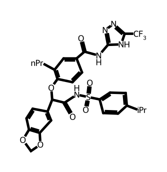 CCCc1cc(C(=O)Nc2nnc(C(F)(F)F)[nH]2)ccc1OC(C(=O)NS(=O)(=O)c1ccc(C(C)C)cc1)c1ccc2c(c1)OCO2